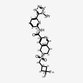 CC(C)n1nnnc1-c1cccc(NC(=O)c2cc3c(cn2)CCN(S(=O)(=O)CC2CC(F)(F)C2)C3)n1